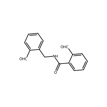 O=Cc1ccccc1CNC(=O)c1ccccc1C=O